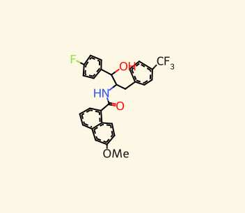 COc1ccc2c(C(=O)NC(Cc3ccc(C(F)(F)F)cc3)C(O)c3ccc(F)cc3)cccc2c1